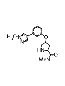 CNC(=O)C1CC(Oc2c[c]cc(-c3cnn(C)c3)c2)CN1